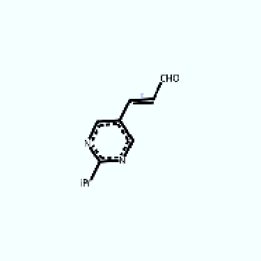 CC(C)c1ncc(/C=C/C=O)cn1